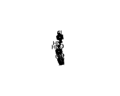 O=C(NCc1ccc(Cl)cc1)Nc1ccc(S(=O)(=O)N2CC3CCC(C2)O3)cc1